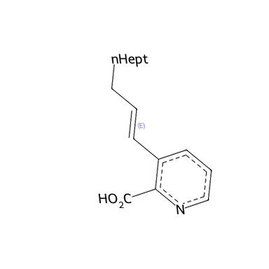 CCCCCCCC/C=C/c1cccnc1C(=O)O